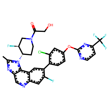 Cc1nc2cnc3cc(F)c(-c4ccc(Oc5nccc(C(F)(F)F)n5)cc4Cl)cc3c2n1[C@H]1CCN(C(=O)CO)C[C@@H]1F